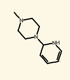 CN1CCN(C2C=C[C]=CN2)CC1